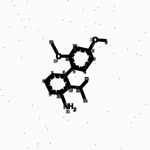 COc1ccc(-c2cccc(N)c2C(C)C)c(OC)c1